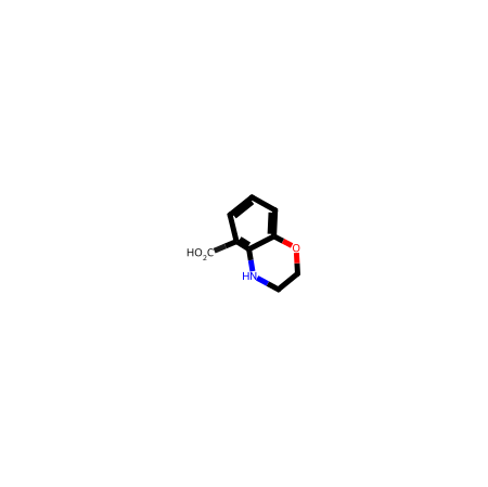 O=C(O)c1cccc2c1NCCO2